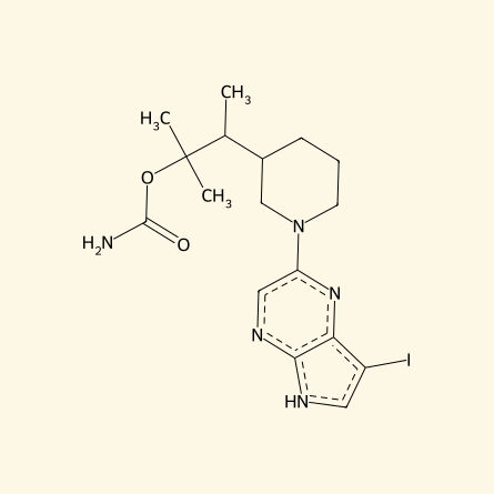 CC(C1CCCN(c2cnc3[nH]cc(I)c3n2)C1)C(C)(C)OC(N)=O